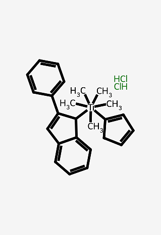 Cl.Cl.[CH3][Ti]([CH3])([CH3])([CH3])([CH3])([C]1=CC=CC1)[CH]1C(c2ccccc2)=Cc2ccccc21